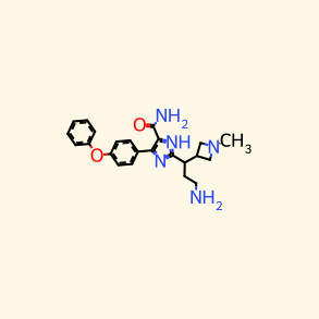 CN1CC(C(CCN)c2nc(-c3ccc(Oc4ccccc4)cc3)c(C(N)=O)[nH]2)C1